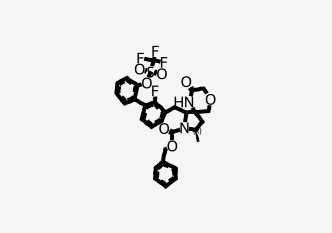 C[C@@H]1CC2(COCC(=O)N2)C(Cc2cccc(-c3ccccc3OS(=O)(=O)C(F)(F)F)c2F)N1C(=O)OCc1ccccc1